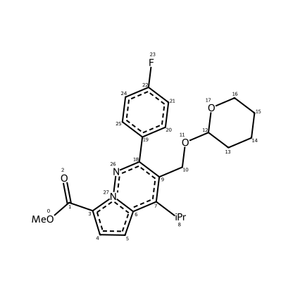 COC(=O)c1ccc2c(C(C)C)c(COC3CCCCO3)c(-c3ccc(F)cc3)nn12